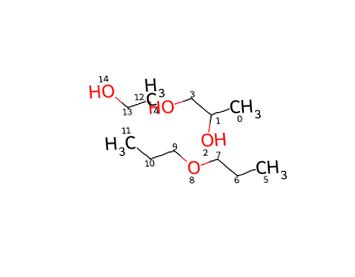 CC(O)CO.CCCOCCC.CCO